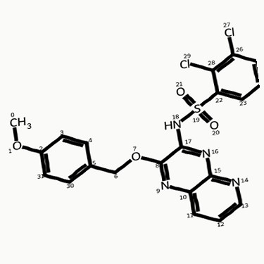 COc1ccc(COc2nc3cccnc3nc2NS(=O)(=O)c2cccc(Cl)c2Cl)cc1